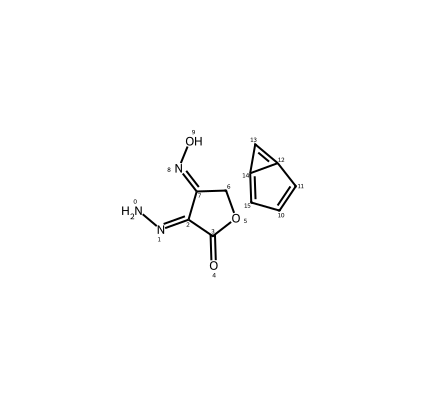 NN=C1C(=O)OCC1=NO.c1cc2cc-2c1